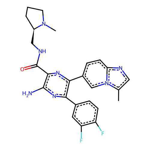 Cc1cnc2ccc(-c3nc(C(=O)NC[C@H]4CCCN4C)c(N)nc3-c3ccc(F)c(F)c3)cn12